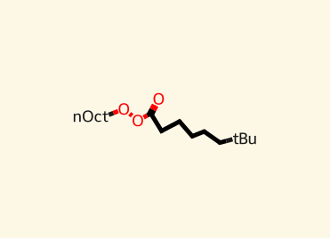 CCCCCCCCOOC(=O)CCCCCC(C)(C)C